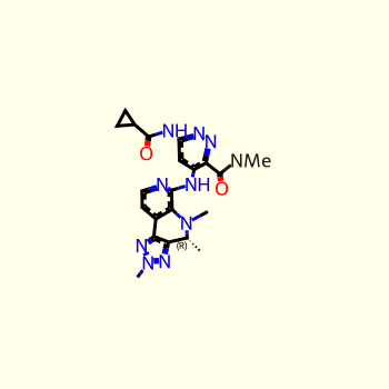 CNC(=O)c1nnc(NC(=O)C2CC2)cc1Nc1nccc2c1N(C)[C@H](C)c1nn(C)nc1-2